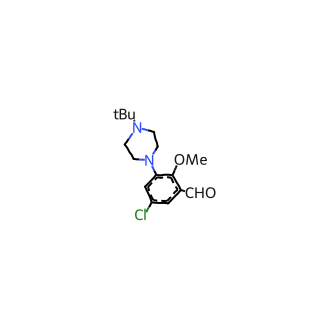 COc1c(C=O)cc(Cl)cc1N1CCN(C(C)(C)C)CC1